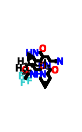 CC(C)(C)C(NC(=O)C(F)(F)F)C(=O)N1CC2CC2CC1C(=O)NC(C#N)CC1CCC2(CC2)NC1=O